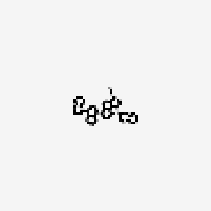 N#Cc1ccc2c3c1ccc1c(-c4ccc(-c5cccc6ccccc56)c5ccccc45)ccc(c13)n2-c1ccc2ccccc2c1